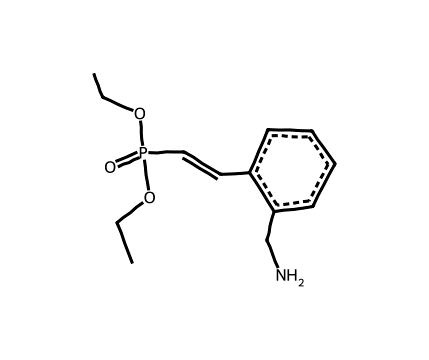 CCOP(=O)(C=Cc1ccccc1CN)OCC